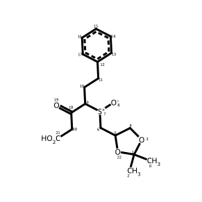 CC1(C)OCC(C[S+]([O-])C(CCc2ccccc2)C(=O)CC(=O)O)O1